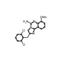 COc1cccc2c1nc(N)n1cc(Cc3c(Cl)cccc3Cl)nc21